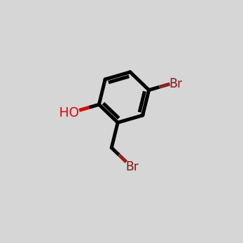 Oc1ccc(Br)cc1CBr